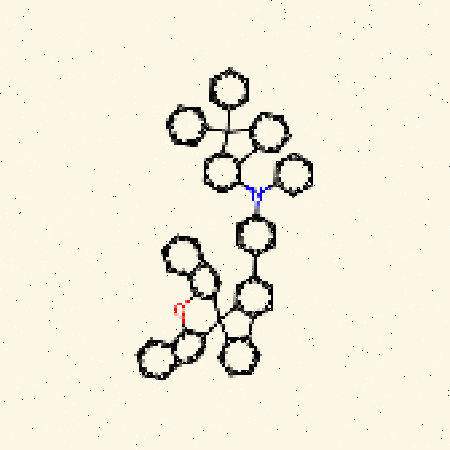 c1ccc(N(c2ccc(-c3ccc4c(c3)C3(c5ccccc5-4)c4ccc5ccccc5c4Oc4c3ccc3ccccc43)cc2)c2cccc3c2-c2ccccc2C3(c2ccccc2)c2ccccc2)cc1